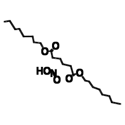 CCCCCCCCOC(=O)CCCCC(=O)OCCCCCCCC.O=NO